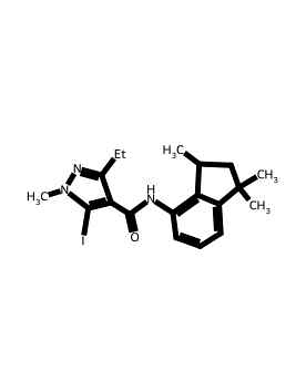 CCc1nn(C)c(I)c1C(=O)Nc1cccc2c1C(C)CC2(C)C